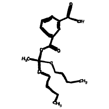 CCCCOC(C)(OCCCC)OC(=O)c1cccc(C(=O)O)c1